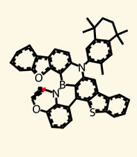 Cc1cc2c(cc1N1c3cc4c(sc5ccccc54)c4c3B(c3c1ccc1c3oc3ccccc31)N1c3ccccc3Oc3cccc-4c31)C(C)(C)CCC2(C)C